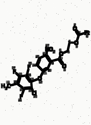 CCC(=O)OCCOC(=O)c1cc(Oc2c(F)c(F)c(C)c(F)c2Cl)ccc1[N+](=O)[O-]